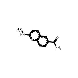 CNc1ccc2cc(C(N)=O)ccc2n1